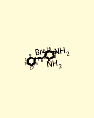 Nc1cc(N)c(C=Cc2ccccc2)c(Br)c1